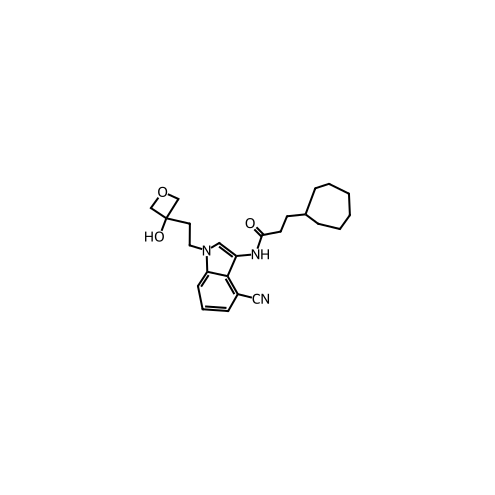 N#Cc1cccc2c1c(NC(=O)CCC1CCCCCC1)cn2CCC1(O)COC1